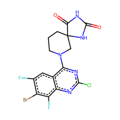 O=C1NC(=O)C2(CCCN(c3nc(Cl)nc4c(F)c(Br)c(F)cc34)C2)N1